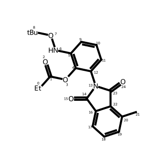 CCC(=O)Oc1c(NOC(C)(C)C)cccc1N1C(=O)c2cccc(C)c2C1=O